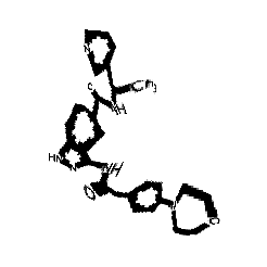 CC(NC(=O)c1ccc2[nH]nc(NC(=O)c3ccc(N4CCOCC4)cc3)c2c1)c1cccnc1